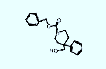 O=C(OCc1ccccc1)N1CCC(CO)(c2ccccc2)CC1